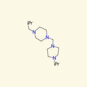 CC(C)CN1CCN(CN2CCN(C(C)C)CC2)CC1